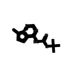 Cc1ccc2c(NC(=O)OC(C)(C)C)ncnn12